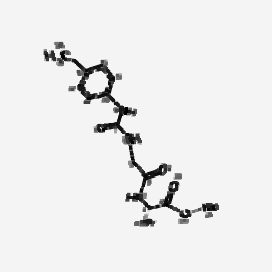 CCC[C@H](NC(=O)CNC(=O)Nc1ccc(C)cc1)C(=O)OC(C)(C)C